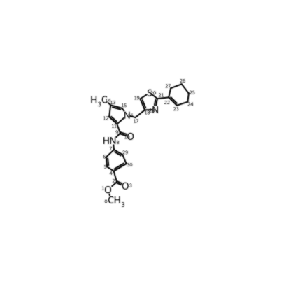 COC(=O)c1ccc(NC(=O)c2cc(C)cn2Cc2csc(C3=CCCCC3)n2)cc1